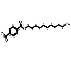 CCCCCCCCCCCOC(=O)c1ccc(C(=O)O)cc1